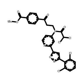 CC(C)(C)OC(=O)c1ccc(C(=O)CCN(C(=O)C(Cl)Cl)c2ccnc(-c3cc(-c4c(Cl)cccc4Cl)no3)c2)cc1